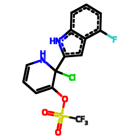 O=S(=O)(OC1=CC=CNC1(Cl)c1cc2c(F)cccc2[nH]1)C(F)(F)F